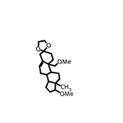 COCC12CCC3(CC1=CCC1C2CCC2(C)C(OC)CCC12)OCCO3